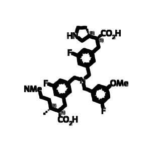 CNCC[C@@H](C)[C@H](Cc1cc(F)cc(CN(Cc2cc(F)cc(C[C@H](C(=O)O)[C@H]3CCNC3)c2)Cc2cc(F)cc(OC)c2)c1)C(=O)O